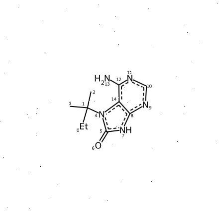 CCC(C)(C)n1c(=O)[nH]c2ncnc(N)c21